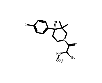 CC[C@H](C)[C@@H](NC(=O)O)C(=O)N1CC[C@](O)(c2ccc(Cl)cc2)C(C)(C)C1